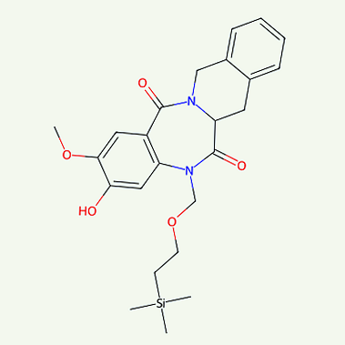 COc1cc2c(cc1O)N(COCC[Si](C)(C)C)C(=O)C1Cc3ccccc3CN1C2=O